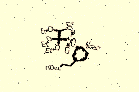 CCCCCCCCCCCCc1ccccc1.CCOC(OCC)C(OCC)(OCC)S(=O)(=O)[O-].[Na+]